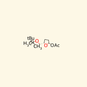 CC(=O)OC1CC[C@@H](CO[Si](C)(C)C(C)(C)C)O1